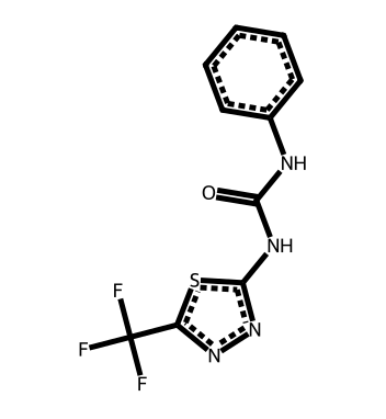 O=C(Nc1ccccc1)Nc1nnc(C(F)(F)F)s1